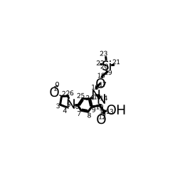 CO[C@H]1CCN(c2ccc3c(C(=O)O)nn(COCC[Si](C)(C)C)c3c2)C1